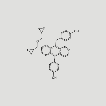 C(OCC1CO1)C1CO1.Oc1ccc(Cc2c3ccccc3c(-c3ccc(O)cc3)c3ccccc23)cc1